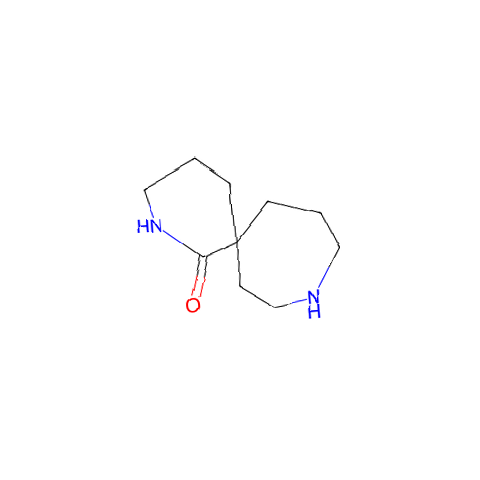 O=C1NCCCC12CCCNCC2